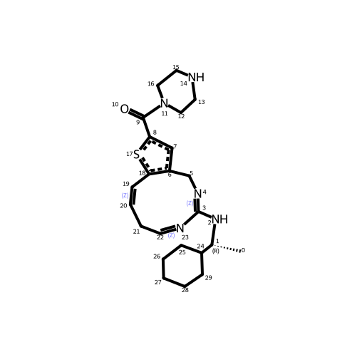 C[C@@H](NC1=N/Cc2cc(C(=O)N3CCNCC3)sc2/C=C\C/C=N\1)C1CCCCC1